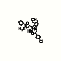 CCc1cccc2c1n(CCN(C)C(=O)c1ccccc1)c(=N)n2CC(=O)c1ccc(Cl)cc1